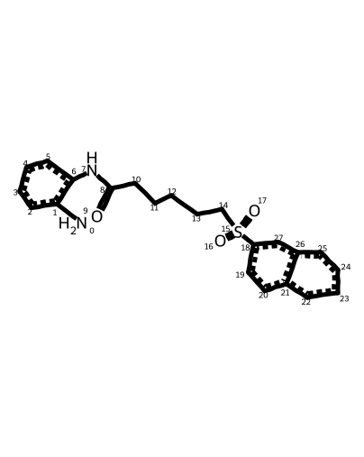 Nc1ccccc1NC(=O)CCCCCS(=O)(=O)c1ccc2ccccc2c1